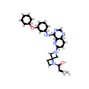 C=CC(=O)N1CCC12CN(c1ccc3ncnc(Nc4cccc(Oc5ccccc5)c4)c3n1)C2